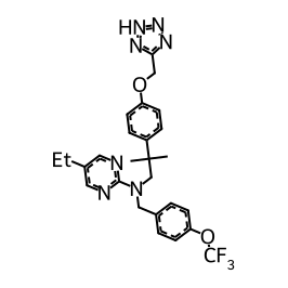 CCc1cnc(N(Cc2ccc(OC(F)(F)F)cc2)CC(C)(C)c2ccc(OCc3nn[nH]n3)cc2)nc1